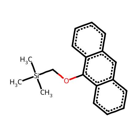 C[Si](C)(C)COc1c2ccccc2cc2ccccc12